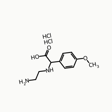 COc1ccc(C(NCCN)C(=O)O)cc1.Cl.Cl